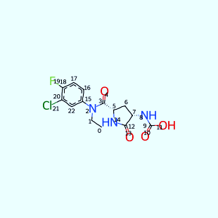 CCN(C(=O)[C@@H]1C[C@H](NC(=O)O)C(=O)N1)c1ccc(F)c(Cl)c1